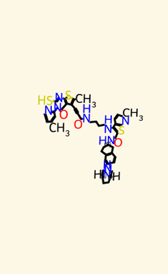 Cc1ccnc(-n2c(S)nc3sc(C)c(C#CC(=O)NCCCCNc4c(C(=O)N[C@H]5CCc6cc(N7C[C@H]8CC[C@@H](C7)N8)ccc6C5)sc5nc(C)ccc45)c3c2=O)c1